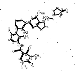 COc1nc(-c2cccc(-c3c(F)ccc(NC(=O)c4cn(C)c(=O)n(C)c4=O)c3C)c2Cl)cc2c1[C@@H](NC[C@@H]1CCC(=O)N1)CC2